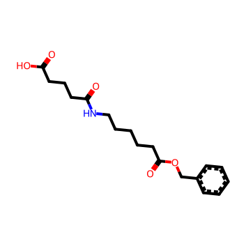 O=C(O)CCCC(=O)NCCCCCC(=O)OCc1ccccc1